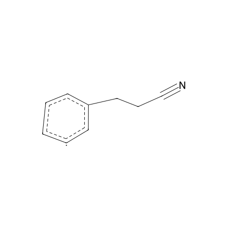 N#CCCc1c[c]ccc1